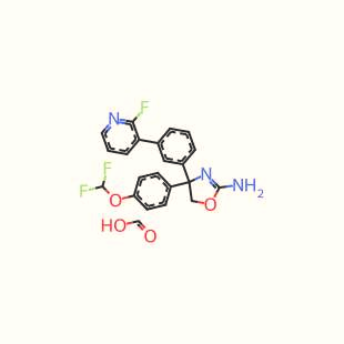 NC1=NC(c2ccc(OC(F)F)cc2)(c2cccc(-c3cccnc3F)c2)CO1.O=CO